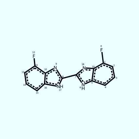 Fc1cccc2[nH]c(-c3nc4c(F)cccc4[nH]3)nc12